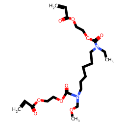 C=CC(=O)OCCOC(=O)N(CC)CCCCCCN(COC)C(=O)OCCOC(=O)C=C